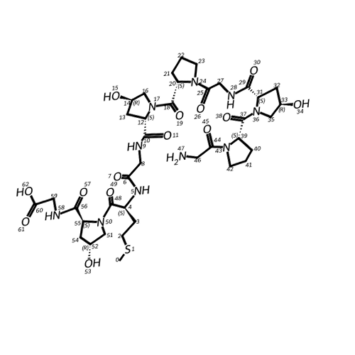 CSCC[C@H](NC(=O)CNC(=O)[C@@H]1C[C@@H](O)CN1C(=O)[C@@H]1CCCN1C(=O)CNC(=O)[C@@H]1C[C@@H](O)CN1C(=O)[C@@H]1CCCN1C(=O)CN)C(=O)N1C[C@H](O)C[C@H]1C(=O)NCC(=O)O